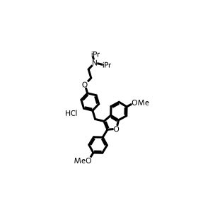 COc1ccc(-c2oc3cc(OC)ccc3c2Cc2ccc(OCCN(C(C)C)C(C)C)cc2)cc1.Cl